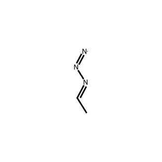 CC=NN=[N]